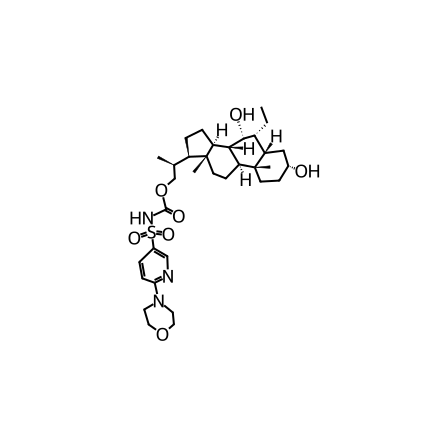 CC[C@H]1[C@@H](O)[C@@H]2[C@H](CC[C@]3(C)[C@@H]([C@H](C)COC(=O)NS(=O)(=O)c4ccc(N5CCOCC5)nc4)CC[C@@H]23)[C@@]2(C)CC[C@@H](O)C[C@@H]12